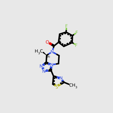 Cc1nc(-c2nnc3n2CCN(C(=O)c2cc(F)c(F)c(F)c2)[C@@H]3C)cs1